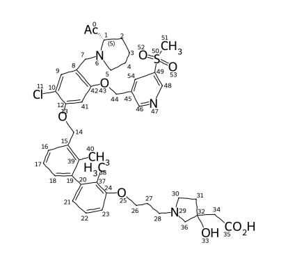 CC(=O)[C@@H]1CCCCN1Cc1cc(Cl)c(OCc2cccc(-c3cccc(OCCCN4CCC(O)(CC(=O)O)C4)c3C)c2C)cc1OCc1cncc(S(C)(=O)=O)c1